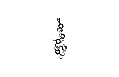 COC(=O)c1ccc2nc(Cc3cc(F)c(-c4cccc(OCc5ccc(C#N)cc5F)n4)cc3F)n(Cc3cnccn3)c2c1